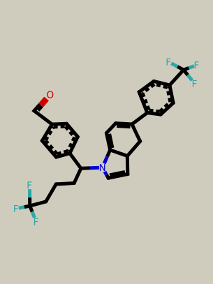 O=Cc1ccc(C(CCCC(F)(F)F)N2C=CC3CC(c4ccc(C(F)(F)F)cc4)=CC=C32)cc1